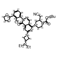 CCN(CC)C1CN(c2nc(N3CCN(C(=O)OC(C)(C)C)C(CC#N)C3)c3cnn(-c4cccc(C5OCCO5)c4C(F)(F)F)c(=O)c3n2)C1